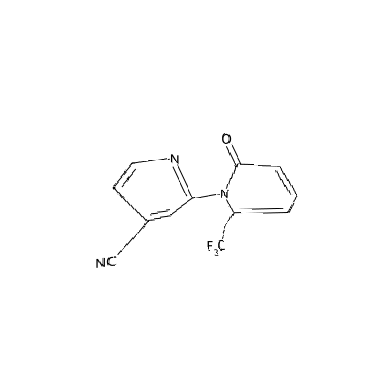 N#Cc1ccnc(-n2c(C(F)(F)F)cccc2=O)c1